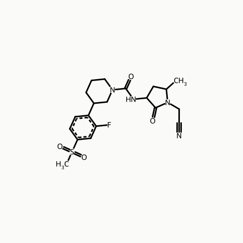 CC1CC(NC(=O)N2CCCC(c3ccc(S(C)(=O)=O)cc3F)C2)C(=O)N1CC#N